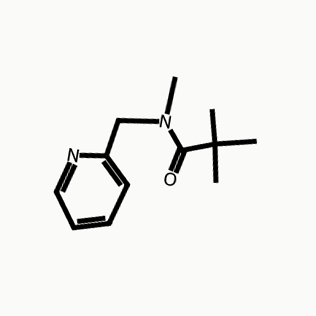 CN(Cc1ccccn1)C(=O)C(C)(C)C